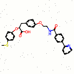 CSc1ccc(OC(Cc2ccc(OCCNC(=O)c3ccc(-c4ccccn4)cc3)cc2)C(=O)O)cc1